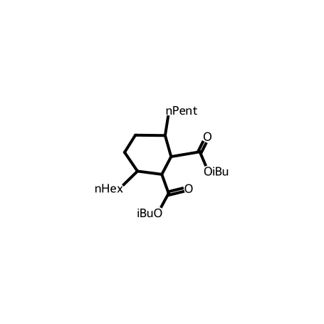 CCCCCCC1CCC(CCCCC)C(C(=O)OCC(C)C)C1C(=O)OCC(C)C